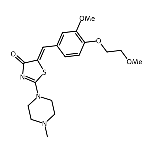 COCCOc1ccc(/C=C2\SC(N3CCN(C)CC3)=NC2=O)cc1OC